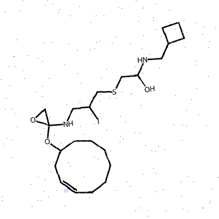 OC(CSCC(I)CNC1(OC2C/C=C\CCCCCC2)CO1)NCC1CCC1